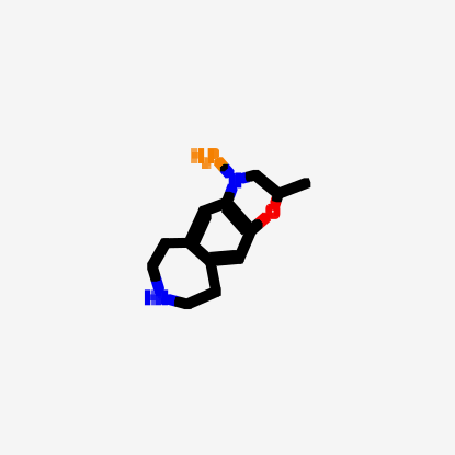 CC1CN(P)c2cc3c(cc2O1)CCNCC3